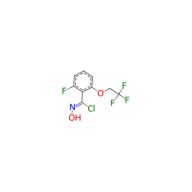 O/N=C(\Cl)c1c(F)cccc1OCC(F)(F)F